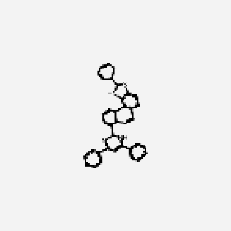 C1=CCC(C2Nc3c(ccc4c3C3C=CC=C(C5N=C(c6ccccc6)C=C(c6ccccc6)N5)C3C=C4)S2)C=C1